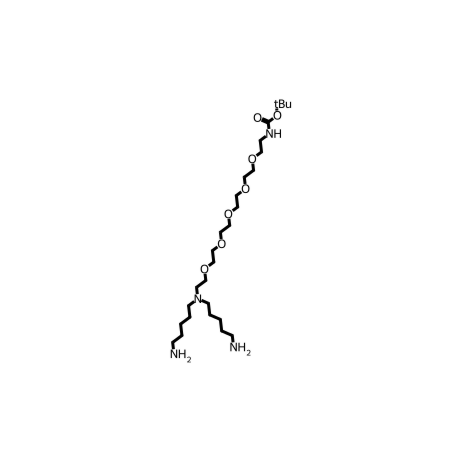 CC(C)(C)OC(=O)NCCOCCOCCOCCOCCOCCN(CCCCCN)CCCCCN